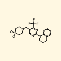 O=S1(=O)CCN(Cc2cnc(N3CCCc4ccccc43)nc2C(F)(F)F)CC1